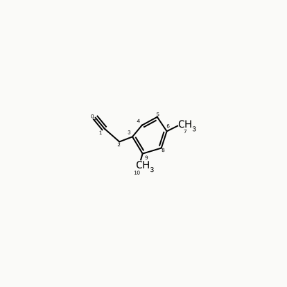 [C]#CCc1ccc(C)cc1C